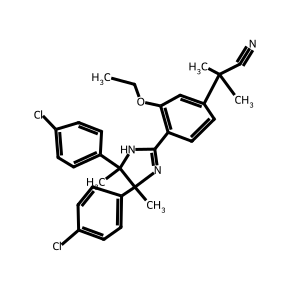 CCOc1cc(C(C)(C)C#N)ccc1C1=NC(C)(c2ccc(Cl)cc2)C(C)(c2ccc(Cl)cc2)N1